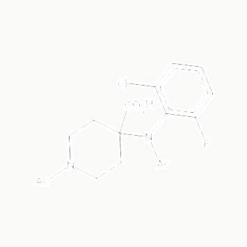 CC(=O)N1CCC(C(=O)O)(N(C(C)=O)c2c(F)cccc2Cl)CC1